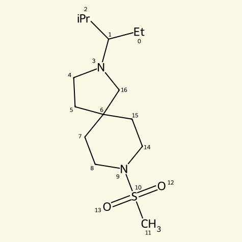 CCC(C(C)C)N1CCC2(CCN(S(C)(=O)=O)CC2)C1